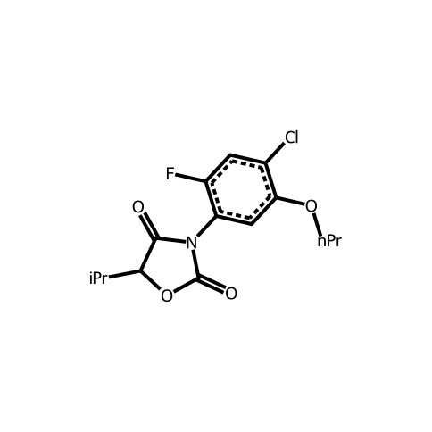 CCCOc1cc(N2C(=O)OC(C(C)C)C2=O)c(F)cc1Cl